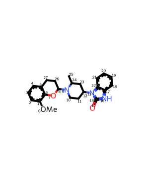 COc1cccc2c1OC(N1CCC(n3c(=O)[nH]c4ccccc43)CC1C)CC2